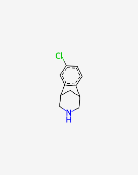 Clc1ccc2c(c1)C1CNCC2C1